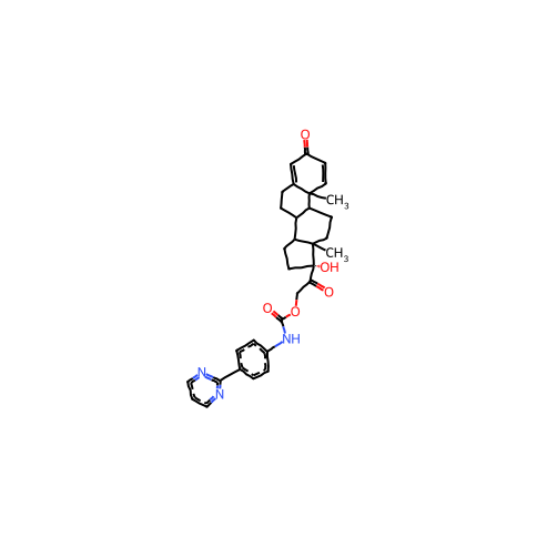 CC12C=CC(=O)C=C1CCC1C2CCC2(C)C1CC[C@]2(O)C(=O)COC(=O)Nc1ccc(-c2ncccn2)cc1